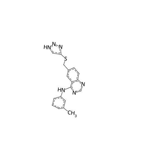 Cc1cccc(Nc2ncnc3ccc(CSc4c[nH]nn4)cc23)c1